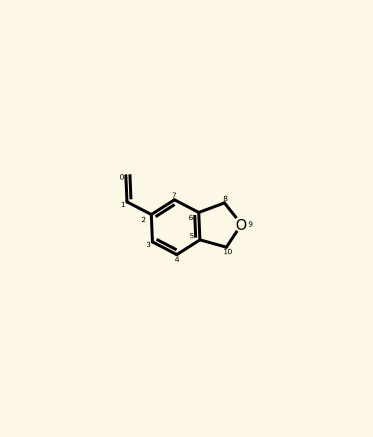 C=Cc1ccc2c(c1)COC2